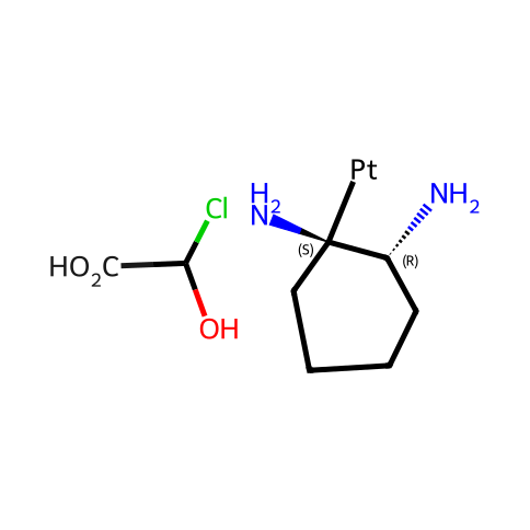 N[C@@H]1CCCC[C@]1(N)[Pt].O=C(O)C(O)Cl